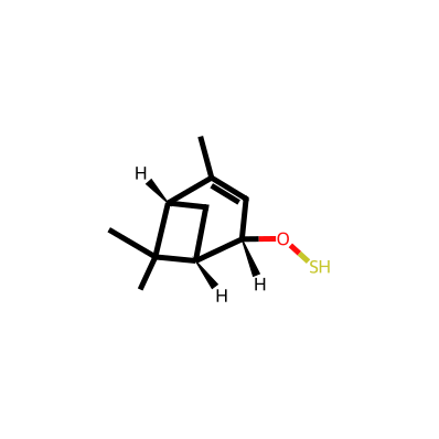 CC1=C[C@H](OS)[C@H]2C[C@@H]1C2(C)C